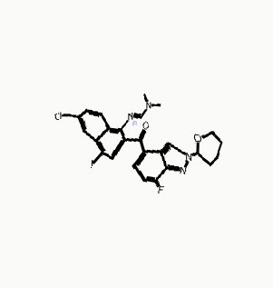 CN(C)/C=N/c1c(C(=O)c2ccc(F)c3nn(C4CCCCO4)cc23)cc(I)c2cc(Cl)ccc12